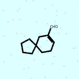 O=CC1=CCCC2(CCCC2)C1